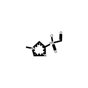 Cn1cnc([SH](=O)(Cl)C=O)c1